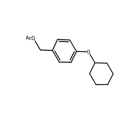 CC(=O)OCc1ccc(OC2CCCCC2)cc1